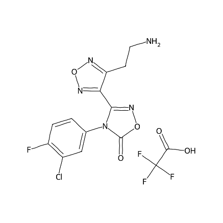 NCCc1nonc1-c1noc(=O)n1-c1ccc(F)c(Cl)c1.O=C(O)C(F)(F)F